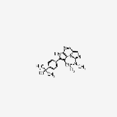 CCc1c(-c2ccc(C(C)(C)O)cc2)[nH]c2ncc3cnc(N(C)C)n3c12